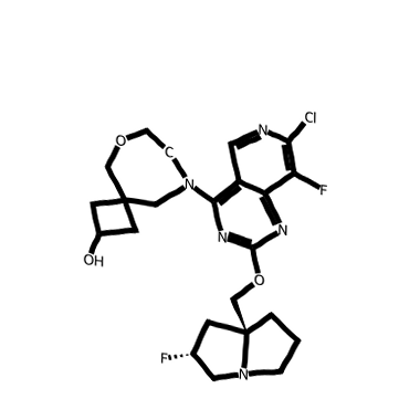 OC1CC2(COCCN(c3nc(OC[C@@]45CCCN4C[C@H](F)C5)nc4c(F)c(Cl)ncc34)C2)C1